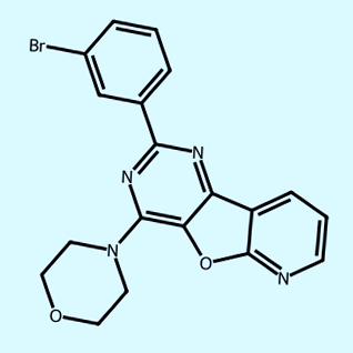 Brc1cccc(-c2nc(N3CCOCC3)c3oc4ncccc4c3n2)c1